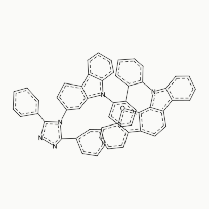 c1ccc(-c2nnc(-c3ccccc3)n2-c2ccc3c4ccccc4n(-c4ccccc4-c4ccccc4-n4c5ccccc5c5ccc6c7ccccc7oc6c54)c3c2)cc1